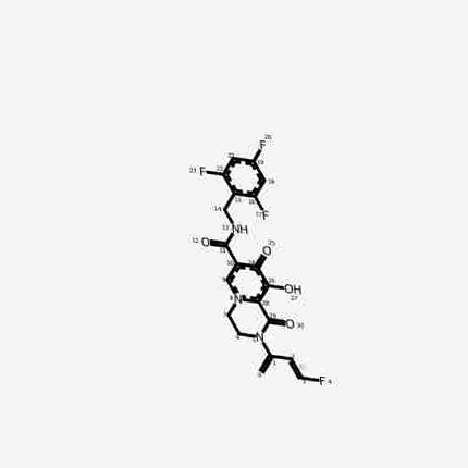 C=C(/C=C/F)N1CCn2cc(C(=O)NCc3c(F)cc(F)cc3F)c(=O)c(O)c2C1=O